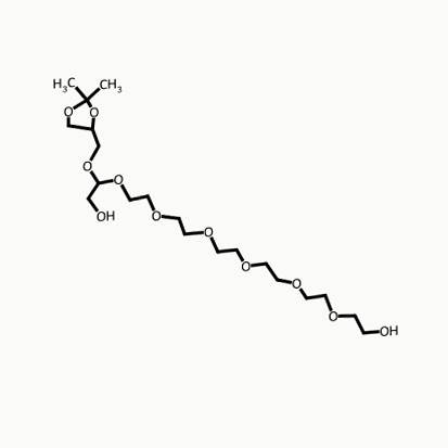 CC1(C)OCC(COC(CO)OCCOCCOCCOCCOCCOCCO)O1